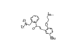 CCN(CC)Cc1ccccc1C(=O)C=Cc1cc(C(C)(C)C)ccc1OCCN(C)C